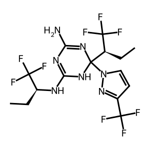 CC[C@H](NC1=NC(N)=NC([C@H](CC)C(F)(F)F)(n2ccc(C(F)(F)F)n2)N1)C(F)(F)F